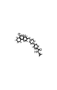 O=C(NC1CC1)c1ncc(N2CCN(Cc3cnc4c5c(c(=O)[nH]c4c3)CCCC5)CC2)cn1